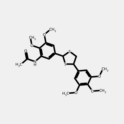 COc1cc(C2SCC(c3cc(OC)c(OC)c(OC)c3)S2)cc(NC(C)=O)c1OC